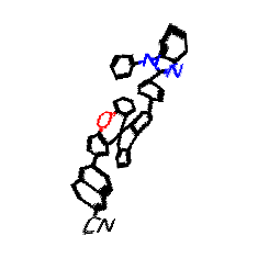 N#Cc1ccc2cc(-c3ccc4c(c3)C3(c5ccccc5O4)c4ccccc4-c4ccc(-c5ccc(-c6nc7ccccc7n6-c6ccccc6)cc5)cc43)ccc2c1